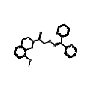 COc1cccc2c1CN(C(=O)CON=C(c1ccccn1)c1ccccn1)CC2